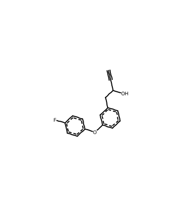 C#CC(O)Cc1cccc(Oc2ccc(F)cc2)c1